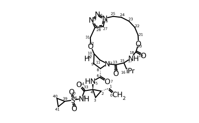 C=C[C@@H]1C[C@]1(NC(=O)[C@@H]1C[C@@H]2CN1C(=O)C(C(C)C)NC(=O)OCCCCCn1cc(nn1)CO2)C(=O)NS(=O)(=O)C1CC1